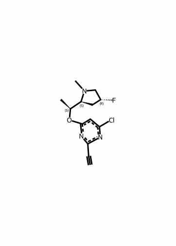 C#Cc1nc(Cl)cc(O[C@@H](C)[C@@H]2C[C@@H](F)CN2C)n1